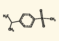 CC(C)c1ccc(S(C)(=O)=O)cc1